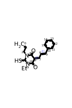 C=CCN1C(=O)/C(=C\C=C\c2ccccc2)C(=O)N(CC)C1S